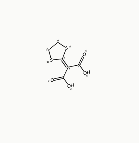 O=C(O)C(C(=O)O)=C1SCCS1